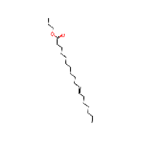 CCCCCC/C=C/CCCCCCCCCC(=O)OCCC